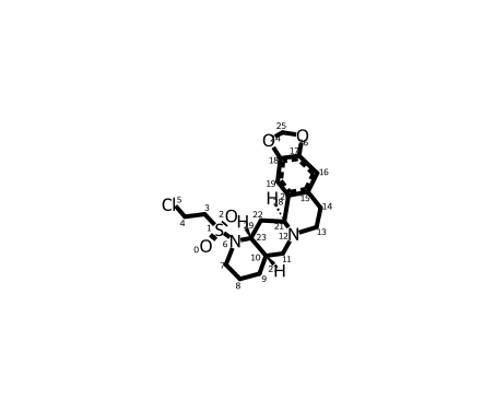 O=S(=O)(CCCl)N1CCC[C@H]2CN3CCc4cc5c(cc4[C@@H]3C[C@H]21)OCO5